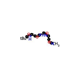 CN1CCC(Oc2ccc(-c3cccc(NC(=O)c4cccc(CCN5CCC(Oc6ccc(-c7cccc(NC(=O)c8ccc(C(C)(C)C)cc8)c7)cc6)CC5)c4)c3)cc2)CC1